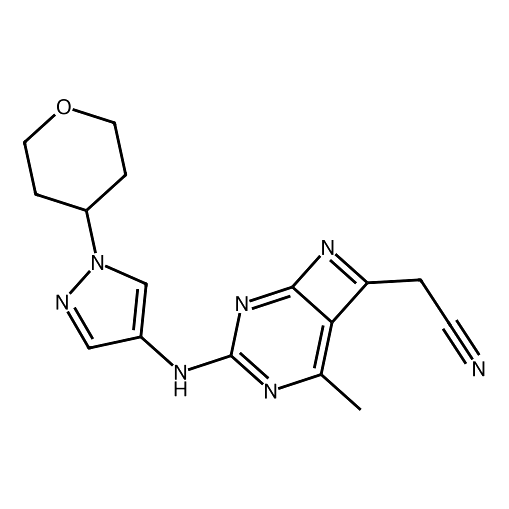 Cc1nc(Nc2cnn(C3CCOCC3)c2)nc2c1C(CC#N)=N2